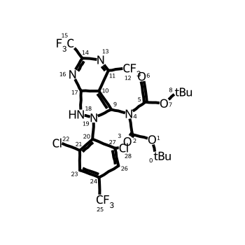 CC(C)(C)OC(=O)N(C(=O)OC(C)(C)C)C1=C2C(C(F)(F)F)=NC(C(F)(F)F)=NC2NN1c1c(Cl)cc(C(F)(F)F)cc1Cl